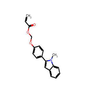 C=CC(=O)OCOc1ccc(-c2cc3ccccc3n2C)cc1